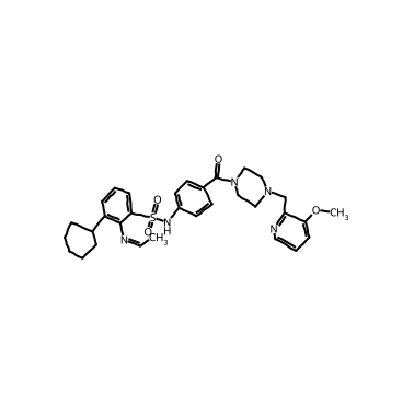 C/C=N\c1c(C2CCCCC2)cccc1S(=O)(=O)Nc1ccc(C(=O)N2CCN(Cc3ncccc3OC)CC2)cc1